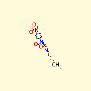 CCCCCC=NC[C@@H]1CN(c2ccc(N3CCOCC3=O)cc2)C(=O)O1